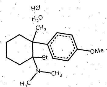 CCC1(N(C)C)CCCCC1(C)c1ccc(OC)cc1.Cl.O